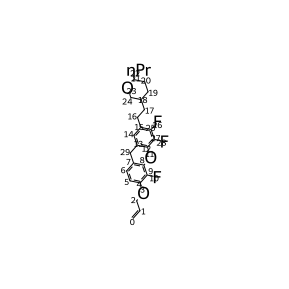 C=CCOc1ccc2c(c1F)Oc1c(cc(CCC3CCC(CCC)OC3)c(F)c1F)C2